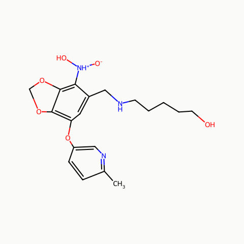 Cc1ccc(Oc2cc(CNCCCCCO)c([NH+]([O-])O)c3c2OCO3)cn1